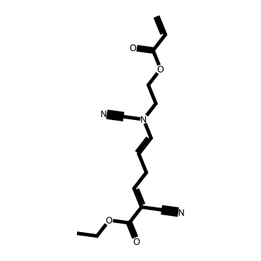 C=CC(=O)OCCN(C#N)/C=C/C/C=C(\C#N)C(=O)OCC